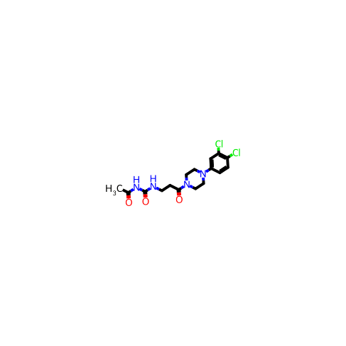 CC(=O)NC(=O)NCCC(=O)N1CCN(c2ccc(Cl)c(Cl)c2)CC1